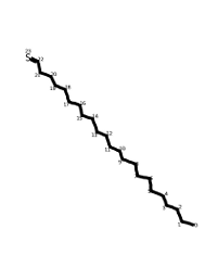 CCCCCCCCCCCCCCCCCCCCCC[C]=S